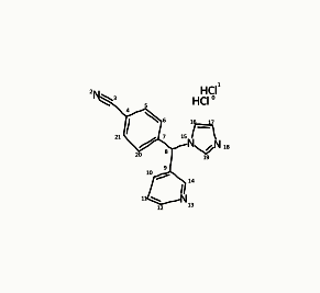 Cl.Cl.N#Cc1ccc(C(c2cccnc2)n2ccnc2)cc1